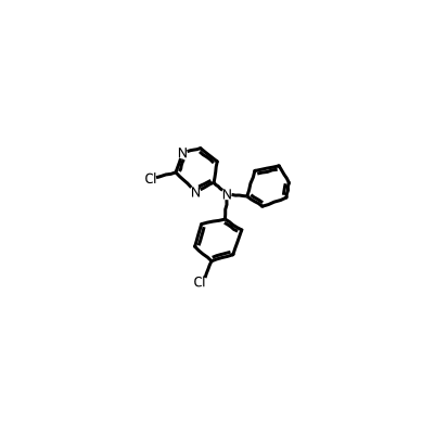 Clc1ccc(N(c2ccccc2)c2ccnc(Cl)n2)cc1